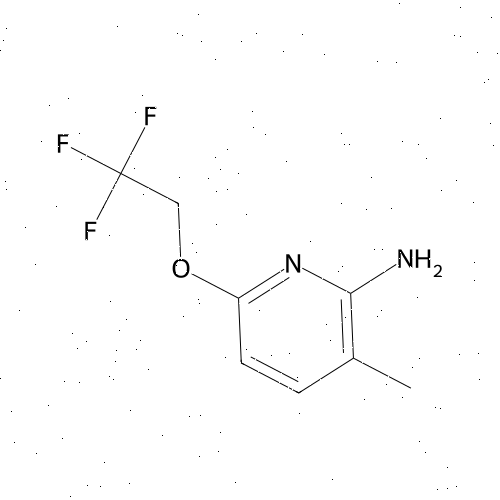 Cc1ccc(OCC(F)(F)F)nc1N